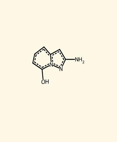 Nc1cc2cccc(O)n2n1